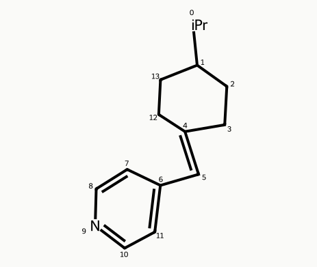 CC(C)C1CCC(=Cc2ccncc2)CC1